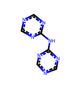 c1ncnc(Nc2ncncn2)n1